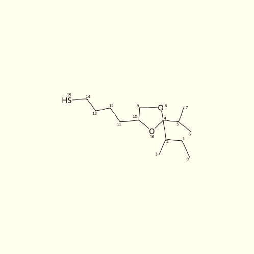 CCC(C)C1(C(C)C)OCC(CCCCS)O1